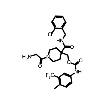 Cc1ccc(NC(=O)OCC2(C(=O)NCc3ccccc3Cl)CCN(C(=O)CN)CC2)cc1C(F)(F)F